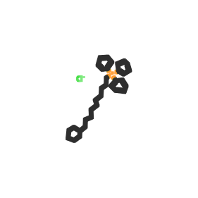 [Cl-].c1ccc([P+](CCCCCCCCCCC2CCCCC2)(c2ccccc2)c2ccccc2)cc1